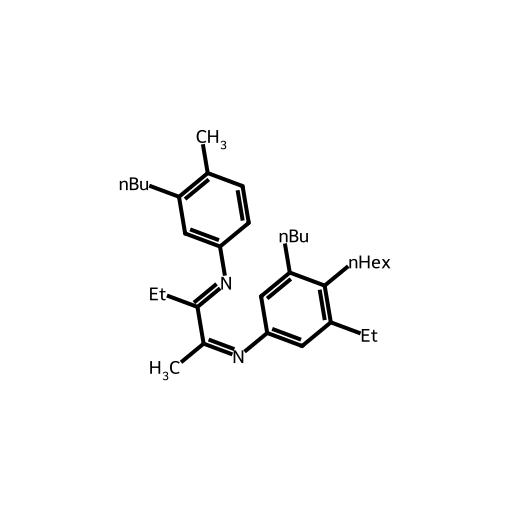 CCCCCCc1c(CC)cc(N=C(C)C(CC)=Nc2ccc(C)c(CCCC)c2)cc1CCCC